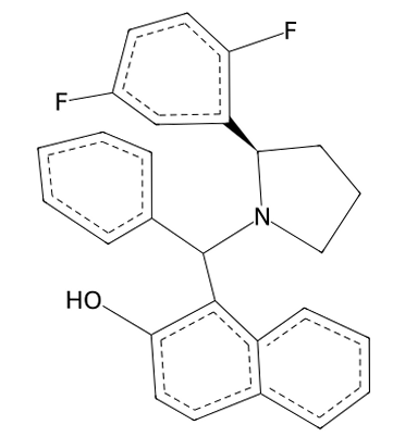 Oc1ccc2ccccc2c1C(c1ccccc1)N1CCC[C@@H]1c1cc(F)ccc1F